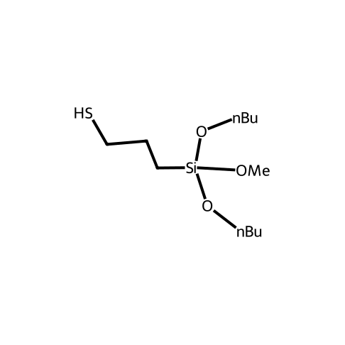 CCCCO[Si](CCCS)(OC)OCCCC